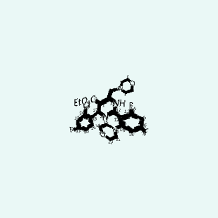 CCOC(=O)C1=C(CN2CCOCC2)NC(c2c(F)cc(F)cc2N2CCOCC2)=NC1c1ccc(F)cc1Cl